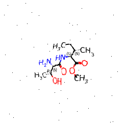 CC[C@H](C)[C@H](NC(=O)[C@@H](N)[C@@H](C)O)C(=O)OC